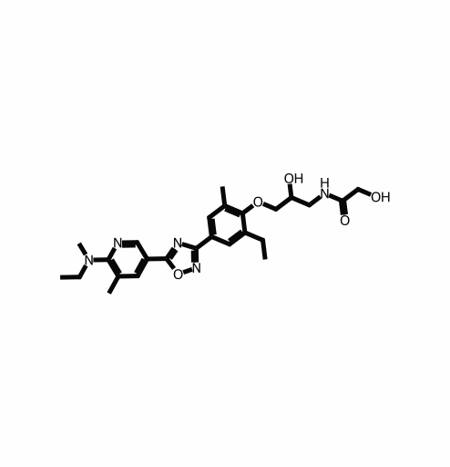 CCc1cc(-c2noc(-c3cnc(N(C)CC)c(C)c3)n2)cc(C)c1OCC(O)CNC(=O)CO